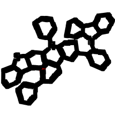 c1ccc(-c2ccc(-c3cc(-c4ccccc4-n4c5ccccc5c5ccccc54)ccc3N(c3ccccc3)c3ccc4c(c3)sc3ccccc34)cc2)cc1